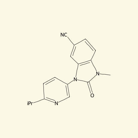 CC(C)c1ccc(-n2c(=O)n(C)c3ccc(C#N)cc32)cn1